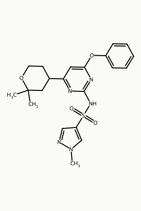 Cn1cc(S(=O)(=O)Nc2nc(Oc3ccccc3)cc(C3CCOC(C)(C)C3)n2)cn1